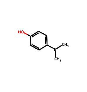 CB(C)c1ccc(O)cc1